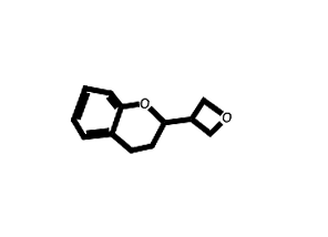 c1ccc2c(c1)CCC(C1COC1)O2